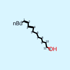 CCCC/C=C\C=CCCCCCCCO